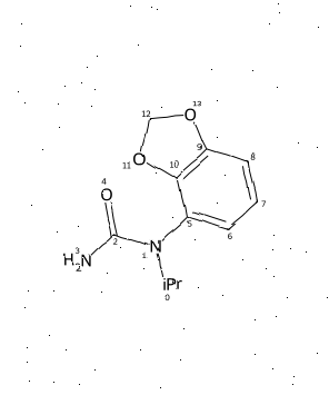 CC(C)N(C(N)=O)c1cccc2c1OCO2